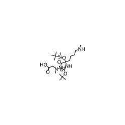 CNCCCCC(NC(=O)OC(C)(C)C)(O[Si](C)(C)C(C)(C)C)C(=O)NN(C)CC(=O)O